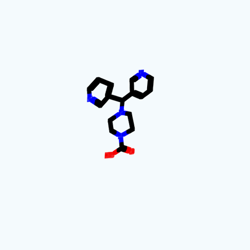 O=C(O)N1CCN(C(c2cccnc2)c2cccnc2)CC1